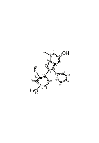 Cc1cc(O)cc2c(-c3ccccc3)c(-c3ccc(O)cc3F)oc12